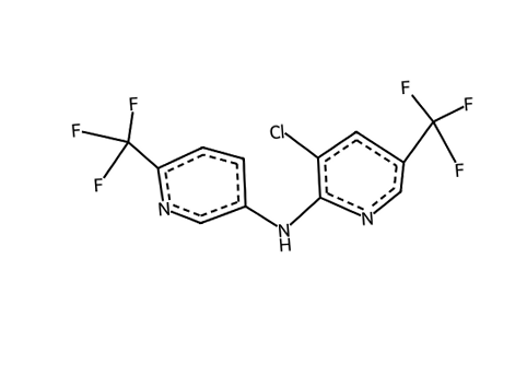 FC(F)(F)c1cnc(Nc2ccc(C(F)(F)F)nc2)c(Cl)c1